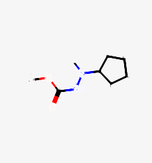 CCN(NC(=O)OC(C)(C)C)C1CCCC1